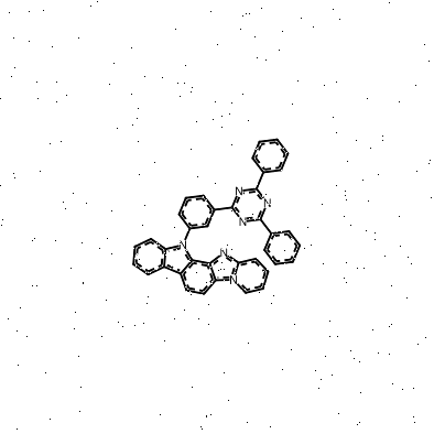 c1ccc(-c2nc(-c3ccccc3)nc(-c3cccc(-n4c5ccccc5c5ccc6c(nc7ccccn76)c54)c3)n2)cc1